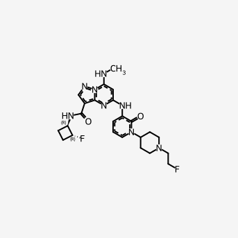 CNc1cc(Nc2cccn(C3CCN(CCF)CC3)c2=O)nc2c(C(=O)N[C@@H]3CC[C@H]3F)cnn12